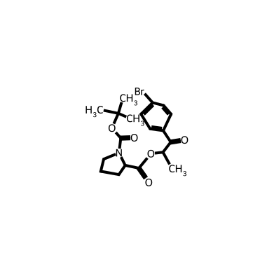 CC(OC(=O)C1CCCN1C(=O)OC(C)(C)C)C(=O)c1ccc(Br)cc1